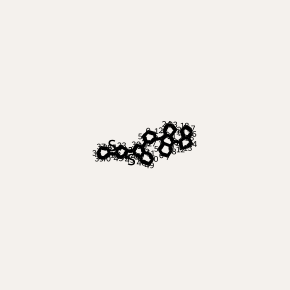 c1cc(-c2c3ccccc3c(-c3cccc4ccccc34)c3ccccc23)cc(-c2cc3c4cc5sc6ccccc6c5cc4sc3c3ccccc23)c1